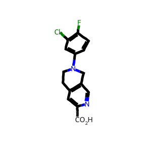 O=C(O)c1cc2c(cn1)CN(c1ccc(F)c(Cl)c1)CC2